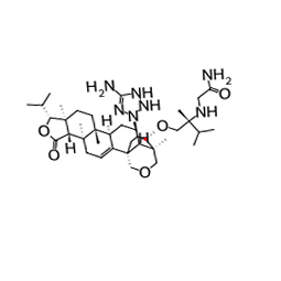 CC(C)[C@H]1OC(=O)[C@@H]2[C@]1(C)CC[C@]1(C)[C@H]3CC[C@@H]4[C@@]5(COC[C@]4(C)[C@@H](OC[C@](C)(NCC(N)=O)C(C)C)[C@H](N4N=C(N)NN4)C5)C3=CC[C@@]21C